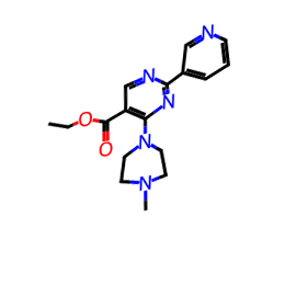 CCOC(=O)c1cnc(-c2cccnc2)nc1N1CCN(C)CC1